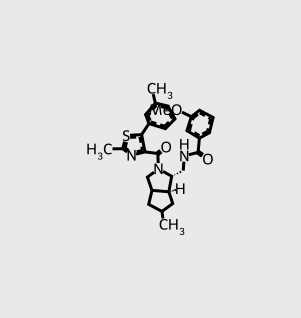 COc1cccc(C(=O)NC[C@@H]2[C@H]3CC(C)CC3CN2C(=O)c2nc(C)sc2-c2cccc(C)c2)c1